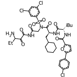 CCC(N)C(=O)C(=O)NC(=O)CN(C(=O)[C@H](CC1CCCCC1)NC(=O)[C@@H](NC(=O)c1ccc(-c2ccc(Cl)cc2)o1)[C@@H](C)CC)S(=O)(=O)c1cc(Cl)cc(Cl)c1